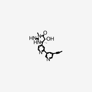 CC#Cc1cncc(-c2cc([C@@]3(C)NC(=N)N(C)C(=O)[C@@H]3O)ccn2)c1